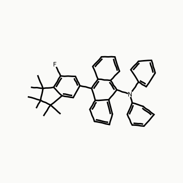 CC1(C)c2cc(-c3c4ccccc4c(N(c4ccccc4)c4ccccc4)c4ccccc34)cc(F)c2C(C)(C)C1(C)C